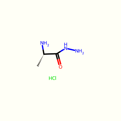 C[C@H](N)C(=O)NN.Cl